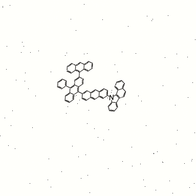 c1ccc(-c2c3ccccc3c(-c3ccc4cc5cc(-n6c7ccccc7c7ccc8ccccc8c76)ccc5cc4c3)c3ccc(-c4c5ccccc5cc5ccccc45)cc23)cc1